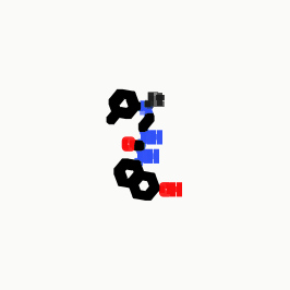 CCN(CCNC(=O)Nc1cccc2c1C[C@H](O)CC2)c1cccc(C)c1